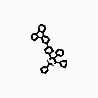 c1ccc(-c2nc(-c3ccccc3)c(-c3ccccc3)c(-c3ccc(-c4ccc5c6ccccc6c6ccccc6c5c4)cc3)n2)cc1